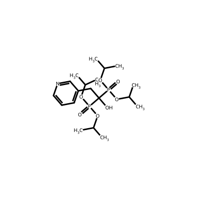 CC(C)OP(=O)(OC(C)C)C(O)(Cc1cccnc1)P(=O)(OC(C)C)OC(C)C